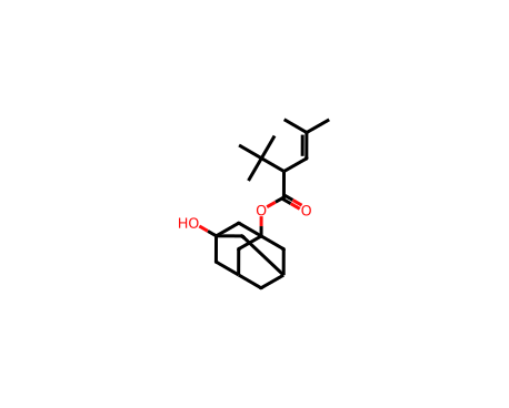 CC(C)=CC(C(=O)OC12CC3CC(CC(O)(C3)C1)C2)C(C)(C)C